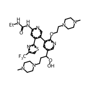 CCNC(=O)Nc1cc(-c2nc(C(F)(F)F)cs2)c(-c2cc(C(CCN3CCN(C)CC3)OO)cnc2OCCN2CCN(C)CC2)cn1